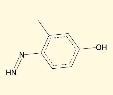 Cc1cc(O)ccc1N=N